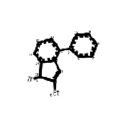 CCC1=Cc2c(-c3ccccc3)cccc2[CH]1[Zr]